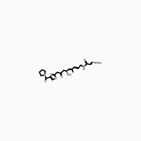 CCC[C@H](C)/C=C/C(=O)NC/C=C/C(C)=C/[C@@H](O)CC(=O)Cc1nc(C(=O)N2CCCC2)co1